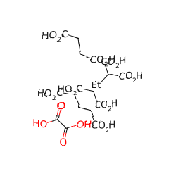 CCC(C(=O)O)C(=O)O.O=C(O)C(=O)O.O=C(O)CC(=O)O.O=C(O)CCC(=O)O.O=C(O)CCCC(=O)O